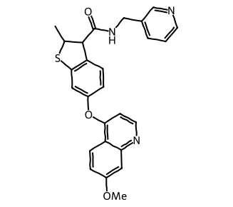 COc1ccc2c(Oc3ccc4c(c3)SC(C)C4C(=O)NCc3cccnc3)ccnc2c1